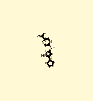 CC(=O)c1cnc(Nc2cc(C3CCCC3)[nH]n2)cn1